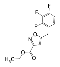 CCOC(=O)c1cc(Cc2ccc(F)c(F)c2F)on1